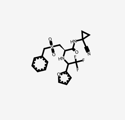 N#CC1(NC(=O)[C@H](CS(=O)(=O)Cc2ccccc2)NC(c2ccco2)C(F)(F)F)CC1